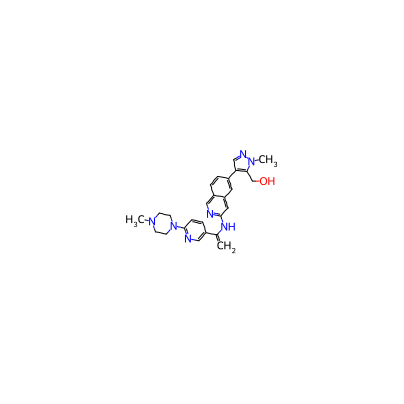 C=C(Nc1cc2cc(-c3cnn(C)c3CO)ccc2cn1)c1ccc(N2CCN(C)CC2)nc1